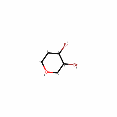 Br[C]1COCCC1Br